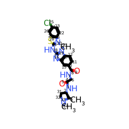 CC1C(NC(=O)CNC(=O)c2ccc3c(c2)nc(Nc2nc4ccc(Cl)cc4s2)n3C)CCN1C